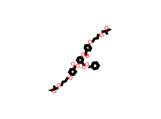 CC1(COCCCCOc2ccc(C(=O)Oc3ccc(OC(=O)c4ccc(OCCCCOCC5(C)CO5)cc4)c(C(=O)OCc4ccccc4)c3)cc2)CO1